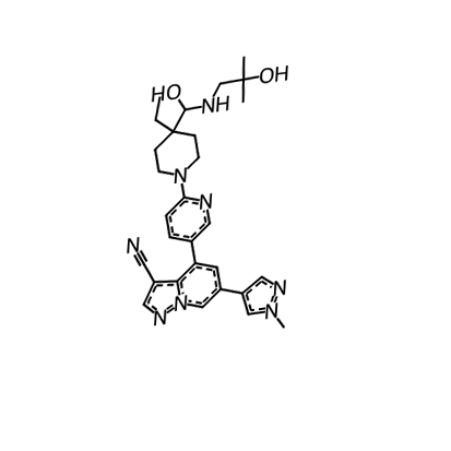 CCC1(C(O)NCC(C)(C)O)CCN(c2ccc(-c3cc(-c4cnn(C)c4)cn4ncc(C#N)c34)cn2)CC1